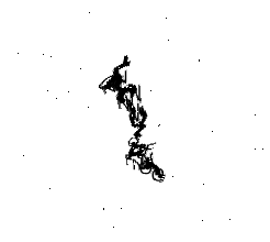 COCc1nc(-c2c(F)cc(OCCCC3CCN(c4ncc(-c5noc(CC(C)C)n5)cn4)CC3)cc2F)no1